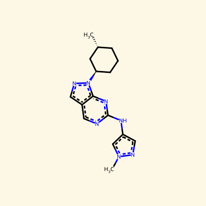 C[C@@H]1CCC[C@@H](n2ncc3cnc(Nc4cnn(C)c4)nc32)C1